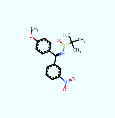 COc1ccc(/C(=N\[S+]([O-])C(C)(C)C)c2cccc([N+](=O)[O-])c2)cc1